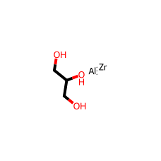 OCC(O)CO.[Al].[Zr]